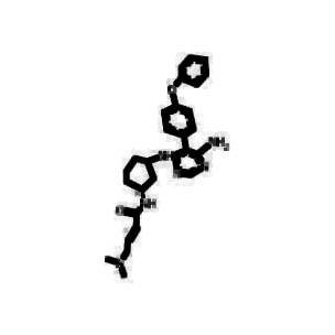 CN(C)C/C=C/C(=O)N[C@@H]1CCCC(Nc2ncnc(N)c2-c2ccc(Oc3ccccc3)cc2)C1